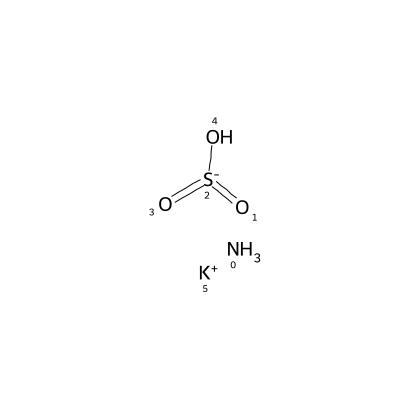 N.O=[S-](=O)O.[K+]